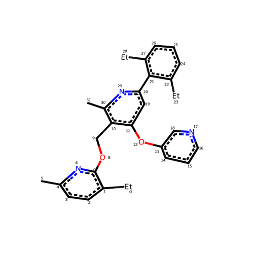 CCc1ccc(C)nc1OCc1c(Oc2cccnc2)cc(-c2c(CC)cccc2CC)nc1C